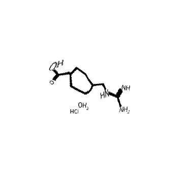 Cl.N=C(N)NCC1CCC(C(=O)O)CC1.O